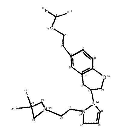 FC(F)OCCc1ccc2c(c1)CC(N1C=CCN1CCN1CC(F)(F)C1)CO2